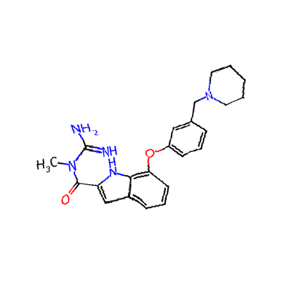 CN(C(=N)N)C(=O)c1cc2cccc(Oc3cccc(CN4CCCCC4)c3)c2[nH]1